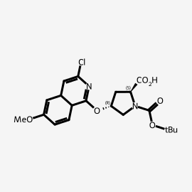 COC1=CC2C=C(Cl)N=C(O[C@@H]3C[C@@H](C(=O)O)N(C(=O)OC(C)(C)C)C3)C2C=C1